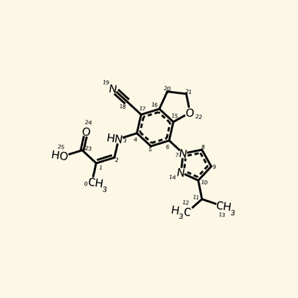 CC(=CNc1cc(-n2ccc(C(C)C)n2)c2c(c1C#N)CCO2)C(=O)O